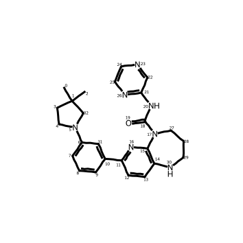 CC1(C)CCN(c2cccc(-c3ccc4c(n3)N(C(=O)Nc3cnccn3)CCCN4)c2)C1